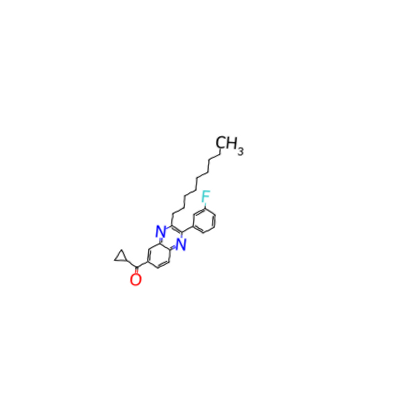 CCCCCCCCCc1nc2cc(C(=O)C3CC3)ccc2nc1-c1cccc(F)c1